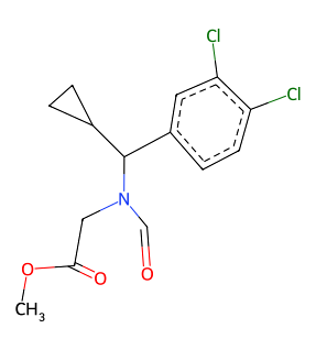 COC(=O)CN(C=O)C(c1ccc(Cl)c(Cl)c1)C1CC1